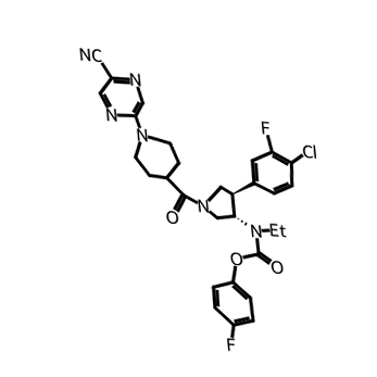 CCN(C(=O)Oc1ccc(F)cc1)[C@@H]1CN(C(=O)C2CCN(c3cnc(C#N)cn3)CC2)C[C@H]1c1ccc(Cl)c(F)c1